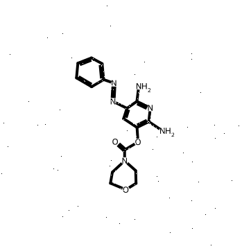 Nc1nc(N)c(OC(=O)N2CCOCC2)cc1/N=N/c1ccccc1